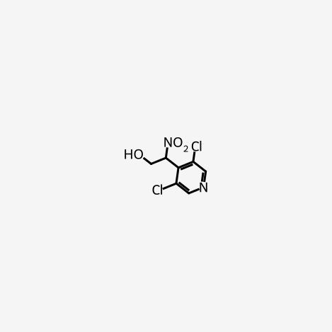 O=[N+]([O-])C(CO)c1c(Cl)cncc1Cl